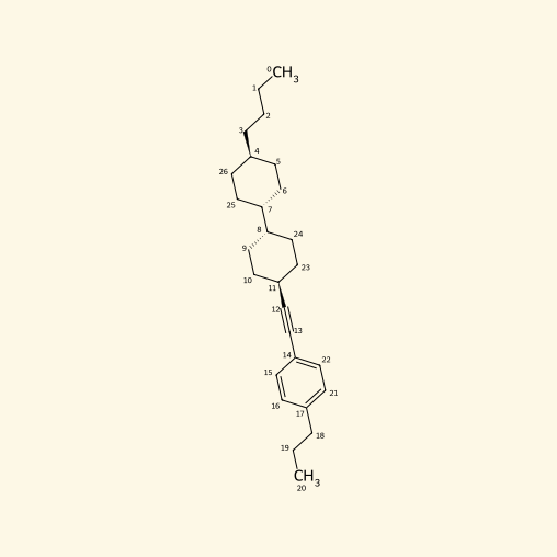 CCCC[C@H]1CC[C@H]([C@H]2CC[C@H](C#Cc3ccc(CCC)cc3)CC2)CC1